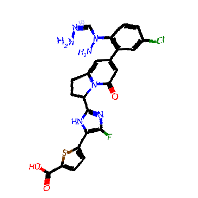 N/N=C\N(N)c1ccc(Cl)cc1-c1cc2n(c(=O)c1)C(c1nc(F)c(-c3ccc(C(=O)O)s3)[nH]1)CC2